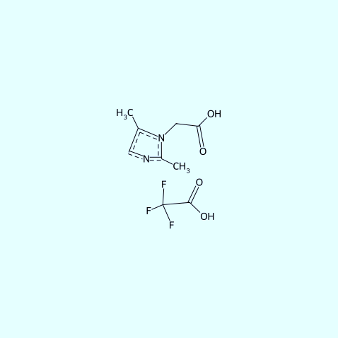 Cc1cnc(C)n1CC(=O)O.O=C(O)C(F)(F)F